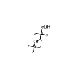 [CH2]C(C)(C)CO[Si](C)(C)C.[LiH]